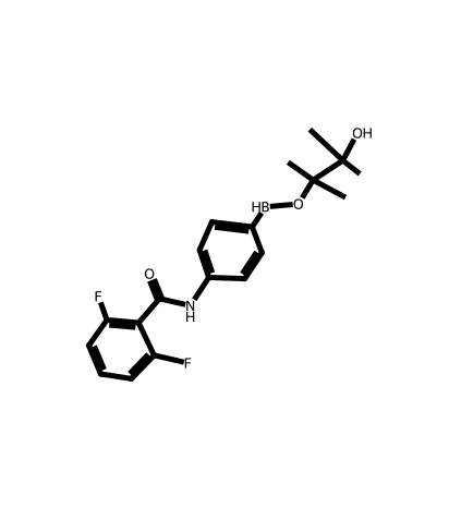 CC(C)(O)C(C)(C)OBc1ccc(NC(=O)c2c(F)cccc2F)cc1